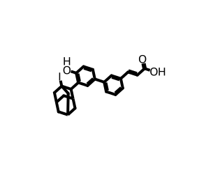 O=C(O)C=Cc1cccc(-c2ccc(O)c(C3C4CC5CC(C4)CC3(I)C5)c2)c1